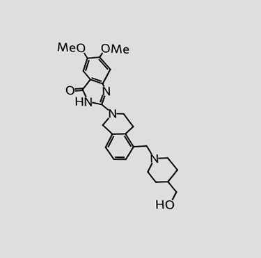 COc1cc2nc(N3CCc4c(CN5CCC(CO)CC5)cccc4C3)[nH]c(=O)c2cc1OC